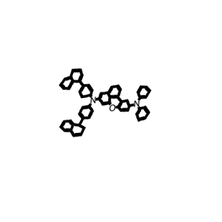 C1=Cc2ccccc2C(c2ccc(N(c3cc4c5c(cccc5c3)C3=C(C=CC(N(c5ccccc5)c5ccccc5)C3)O4)C3C=CC(c4cccc5ccccc45)=CC3)cc2)C1